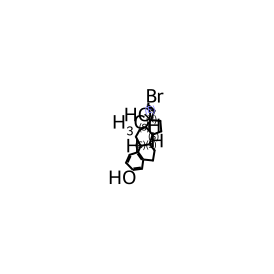 C[C@]12CC[C@@H]3c4ccc(O)cc4CC[C@@H]3[C@@H]1CC[C@@]2(O)/C=C/Br